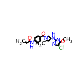 C=CC(=O)Nc1ccc(C(=O)N2C[C@H](Nc3ncc(Cl)c(OC)n3)C[C@H]2C)cc1